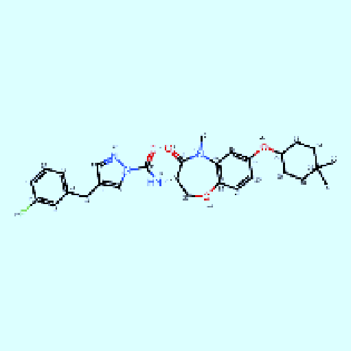 CN1C(=O)[C@@H](NC(=O)n2cc(Cc3cccc(F)c3)cn2)COc2ccc(OC3CCC(C)(C)CC3)cc21